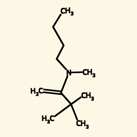 C=C(N(C)CCCC)C(C)(C)C